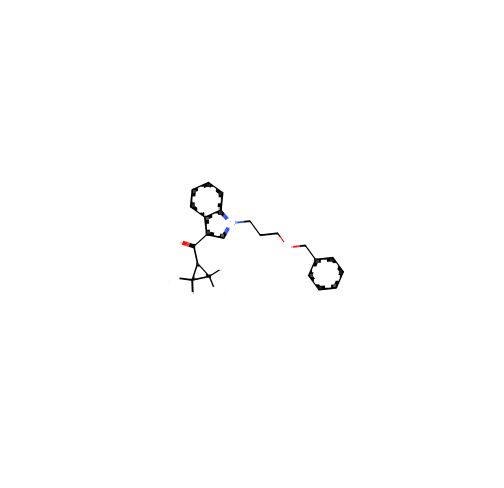 CC1(C)C(C(=O)c2cn(CCCOCc3ccccc3)c3ccccc23)C1(C)C